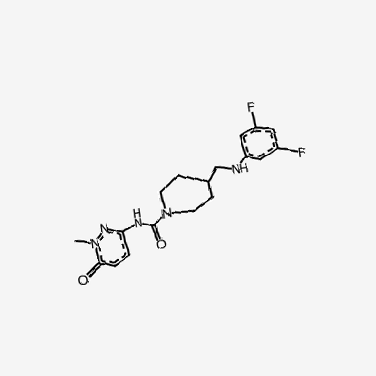 Cn1nc(NC(=O)N2CCC(CNc3cc(F)cc(F)c3)CC2)ccc1=O